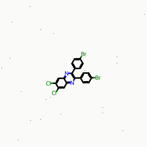 Clc1cc2nc(-c3ccc(Br)cc3)c(-c3ccc(Br)cc3)nc2cc1Cl